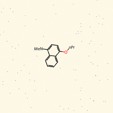 CCCOc1ccc(NC)c2ccccc12